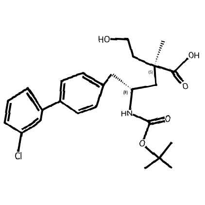 CC(C)(C)OC(=O)N[C@H](Cc1ccc(-c2cccc(Cl)c2)cc1)C[C@@](C)(CCO)C(=O)O